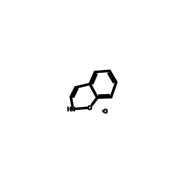 C1=Cc2ccccc2ON1.[O]